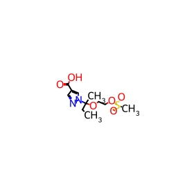 CCC(C)(OCCOS(C)(=O)=O)n1cc(C(=O)O)cn1